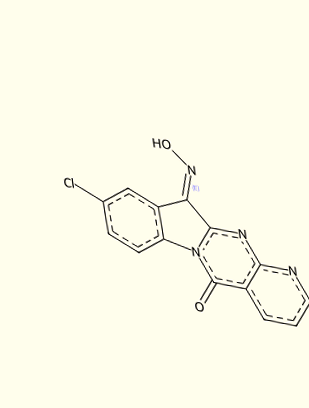 O=c1c2cccnc2nc2n1-c1ccc(Cl)cc1/C2=N\O